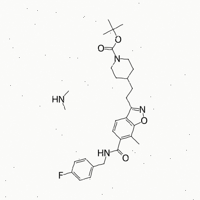 CNC.Cc1c(C(=O)NCc2ccc(F)cc2)ccc2c(CCC3CCN(C(=O)OC(C)(C)C)CC3)noc12